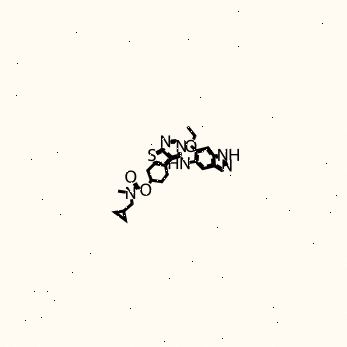 CCOc1cc2[nH]ncc2cc1Nc1ncnc2sc3c(c12)CCC(OC(=O)N(C)CC1CC1)C3